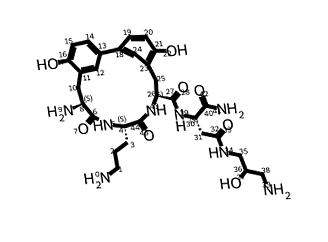 NCCC[C@@H]1NC(=O)[C@@H](N)Cc2cc(ccc2O)-c2ccc(O)c(c2)C[C@@H](C(=O)N[C@@H](CC(=O)NCC(O)CN)C(N)=O)NC1=O